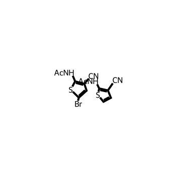 CC(=O)Nc1sc(Br)cc1C#N.CC(=O)Nc1sccc1C#N